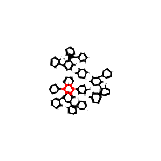 Fc1cccc(F)c1N1c2cc3c(cc2B2c4cc5c(cc4Oc4c2c1c1c2ccccc2n2c6ccccc6c4c12)N(c1c(F)cccc1C1CC1)c1c2c(c4c6ccccc6n6c7ccccc7c1c46)Oc1ccccc1B52)B1c2ccccc2N(c2ccccc2)c2c1c(c1c4ccccc4n4c5ccccc5c2c14)N3c1c(F)cccc1F